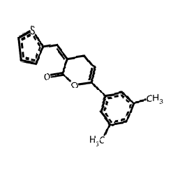 Cc1cc(C)cc(C2=CC/C(=C/c3cccs3)C(=O)O2)c1